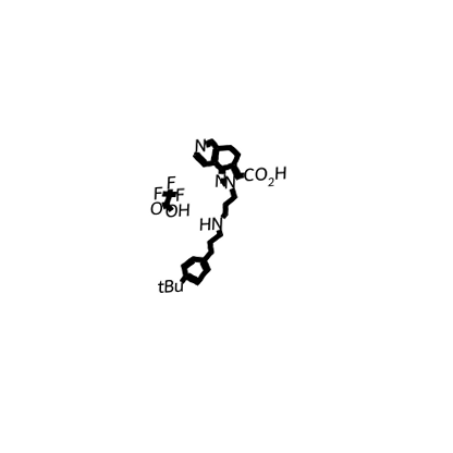 CC(C)(C)c1ccc(CCCNCCCn2nc3c(c2C(=O)O)CCc2cnccc2-3)cc1.O=C(O)C(F)(F)F